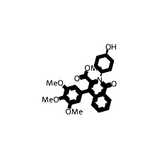 COC(=O)c1c(-c2cc(OC)c(OC)c(OC)c2)c2ccccc2c(=O)n1[C@H]1CC[C@H](O)CC1